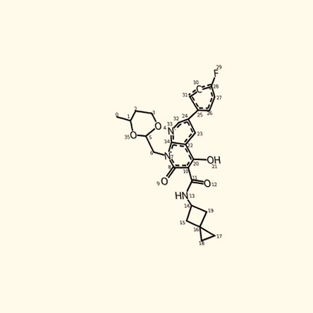 CC1CCOC(Cn2c(=O)c(C(=O)NC3CC4(CC4)C3)c(O)c3cc(-c4ccc(F)cc4)cnc32)O1